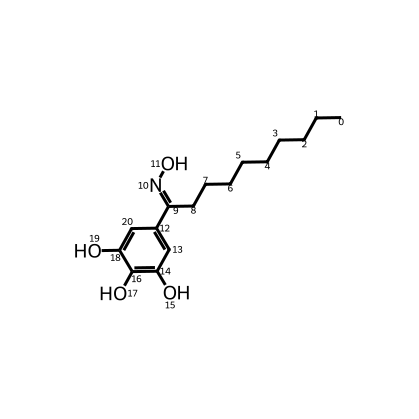 CCCCCCCCCC(=NO)c1cc(O)c(O)c(O)c1